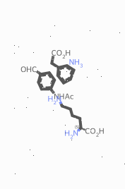 CC(=O)Nc1ccc(C=O)cc1.N.NCCCC[C@H](N)C(=O)O.O=C(O)Cc1ccccc1